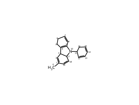 CC1=CC2C3=C(C=CCC3)N(C3C=CC=CC3)C2C=C1